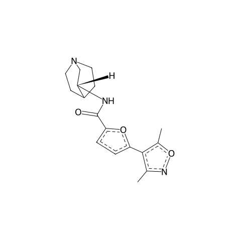 Cc1noc(C)c1-c1ccc(C(=O)N[C@H]2CN3CCC2CC3)o1